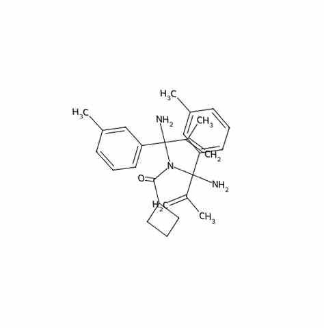 C=C(C)C(N)(c1cccc(C)c1)N(C(=O)C1CCC1)C(N)(C(=C)C)c1cccc(C)c1